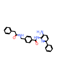 Nc1ccc(-c2ccccc2)nc1NC(=O)c1ccc(CNC(=O)Cc2ccccc2)cc1